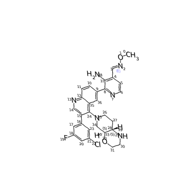 CO/N=C/c1ccnc(-c2ccc3ncc(-c4cc(F)cc(Cl)c4)c(N4CC[C@@H]5NCCO[C@H]5C4)c3c2)c1N